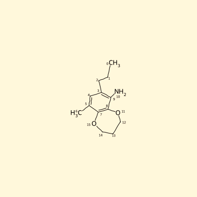 CCCc1cc(C)c2c(c1N)OCCCO2